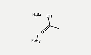 CC(=O)O.[BaH2].[PbH2].[Ti]